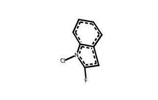 Fc1cc2ccccc2n1Cl